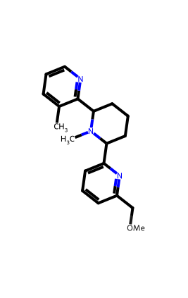 COCc1cccc(C2CCCC(c3ncccc3C)N2C)n1